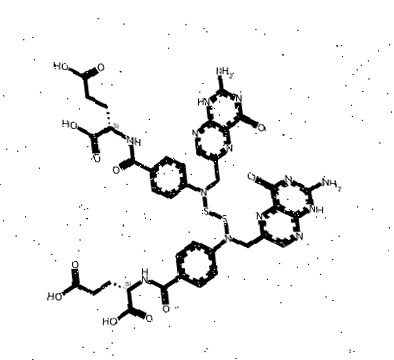 Nc1nc(=O)c2nc(CN(SSN(Cc3cnc4[nH]c(N)nc(=O)c4n3)c3ccc(C(=O)N[C@@H](CCC(=O)O)C(=O)O)cc3)c3ccc(C(=O)N[C@@H](CCC(=O)O)C(=O)O)cc3)cnc2[nH]1